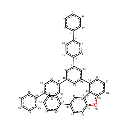 c1ccc(-c2ccc(-c3cc(-c4ccc(-c5ccccc5)cc4)cc(-c4cccc5oc6ccc(-c7ccccc7)cc6c45)c3)cc2)cc1